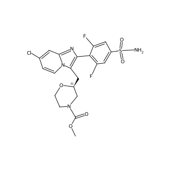 COC(=O)N1CCO[C@@H](Cc2c(-c3c(F)cc(S(N)(=O)=O)cc3F)nc3cc(Cl)ccn23)C1